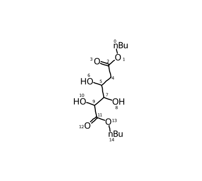 CCCCOC(=O)CC(O)C(O)C(O)C(=O)OCCCC